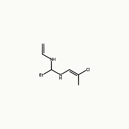 C=CNC(CC)N/C=C(\C)Cl